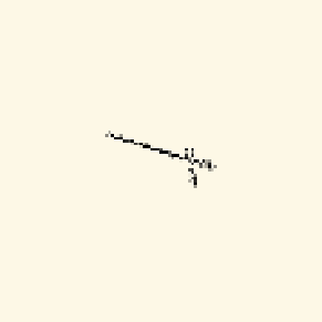 CCCCCCCCC=CCCCCCCCC(=O)N(CCOCC)CCOCC